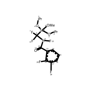 CO[Si](OC(C)C)(OC(C)C)C(F)(F)N(F)C(=O)c1cccc(F)c1F